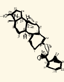 C[C@]12CC[C@@H]3c4ccc(OC(=O)c5ccccc5)cc4CC[C@H]3[C@@H]1CCC2O